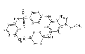 CCn1cnc2c(Nc3ccc(S(=O)(=O)Nc4cccc(Cl)c4)cc3)nc(NC3CCC(O)CC3)nc21